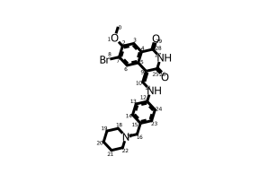 COc1cc2c(cc1Br)C(=CNc1ccc(CN3CCCCC3)cc1)C(=O)NC2=O